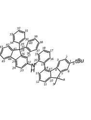 CC(C)(C)c1ccc2c(c1)C(C)(C)c1cccc(-c3ccccc3Nc3ccc4c(c3)C(c3ccccc3)(c3ccccc3)c3ccccc3-4)c1-2